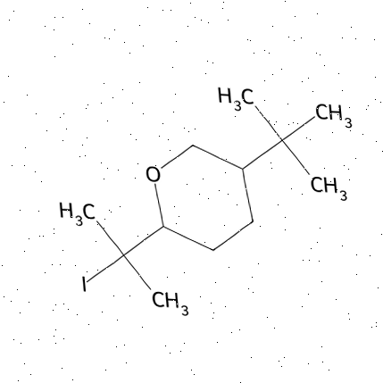 CC(C)(C)C1CCC(C(C)(C)I)OC1